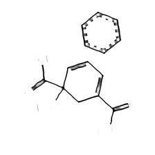 CC1(C(=O)O)C=CC=C(C(=O)O)C1.c1ccccc1